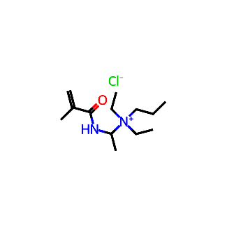 C=C(C)C(=O)NC(C)[N+](CC)(CC)CCC.[Cl-]